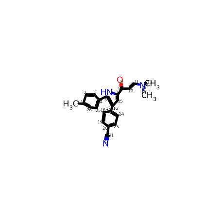 Cc1ccc(-c2[nH]c(C(=O)C=CN(C)C)cc2-c2ccc(C#N)cc2)cc1